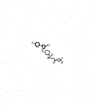 COC1(C)CN(C(=O)CCS(=O)(=O)N2CC[C@@H](c3[nH]c(-c4ccc(F)cn4)nc3Cl)[C@@H](C)C2)C1